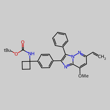 C=Cc1cc(OC)c2nc(-c3ccc(C4(NC(=O)OC(C)(C)C)CCC4)cc3)c(-c3ccccc3)n2n1